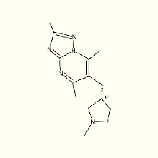 Cc1nc2nc(C)c(C[C@@H]3CCN(C)C3)c(C)n2n1